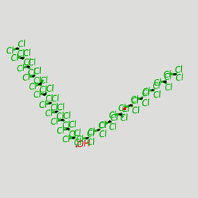 CO.ClC(Cl)Cl.ClC(Cl)Cl.ClC(Cl)Cl.ClC(Cl)Cl.ClC(Cl)Cl.ClC(Cl)Cl.ClC(Cl)Cl.ClC(Cl)Cl.ClC(Cl)Cl.ClC(Cl)Cl.ClC(Cl)Cl.ClC(Cl)Cl.ClC(Cl)Cl.ClC(Cl)Cl.ClC(Cl)Cl.ClC(Cl)Cl.ClC(Cl)Cl.ClC(Cl)Cl.ClC(Cl)Cl.ClC(Cl)Cl